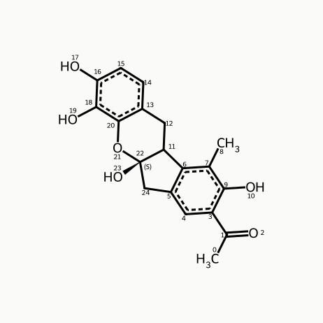 CC(=O)c1cc2c(c(C)c1O)C1Cc3ccc(O)c(O)c3O[C@@]1(O)C2